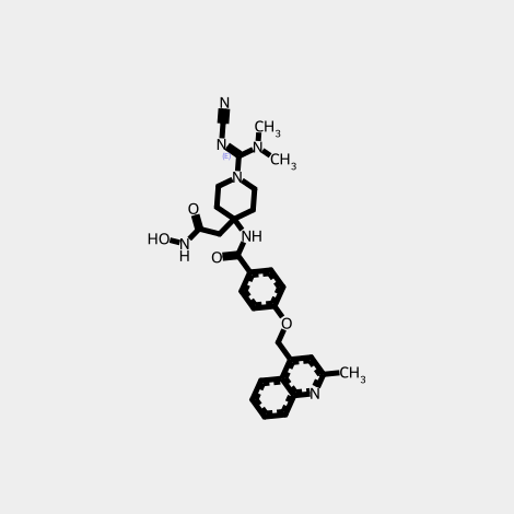 Cc1cc(COc2ccc(C(=O)NC3(CC(=O)NO)CCN(/C(=N/C#N)N(C)C)CC3)cc2)c2ccccc2n1